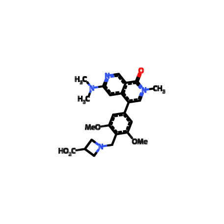 COc1cc(-c2cn(C)c(=O)c3cnc(N(C)C)cc23)cc(OC)c1CN1CC(C(=O)O)C1